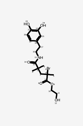 CC(C)(CC(C)(Br)C(=O)OCCO)C(=O)NCCc1ccc(O)c(O)c1